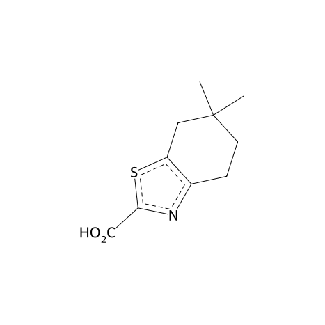 CC1(C)CCc2nc(C(=O)O)sc2C1